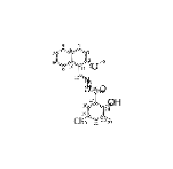 COc1ccc2ccccc2c1/C=N/OC(=O)c1cc(Cl)cc(C)c1O